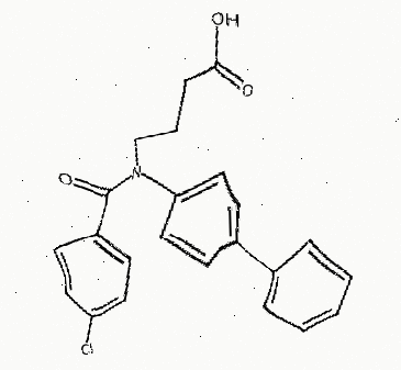 O=C(O)CCCN(C(=O)c1ccc(Cl)cc1)c1ccc(-c2ccccc2)cc1